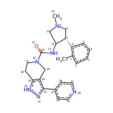 Cc1ccccc1[C@H]1CN(C)CC1NC(=O)N1CCc2[nH]nc(-c3ccncc3)c2C1